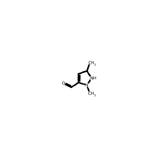 CC1C=C(C=O)N(C)N1